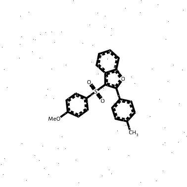 COc1ccc(S(=O)(=O)c2c(-c3ccc(C)cc3)oc3ccccc23)cc1